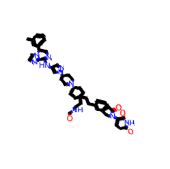 Cc1cccc(-c2cnc(Nc3cnn(C4CCN(C5CCC(CCNC=O)(CCc6ccc7c(c6)CN(C6CCC(=O)NC6=O)C7=O)CC5)CC4)c3)c3nccn23)c1